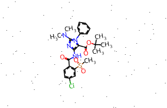 CN(C)c1nc(NC(=O)c2ccc(Cl)cc2S(C)(=O)=O)c(C(=O)OC(C)(C)C)n1-c1ccccc1